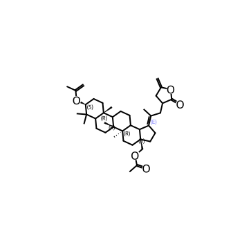 C=C(C)O[C@H]1CC[C@@]2(C)C(CC[C@]3(C)C2CCC2C4/C(=C(\C)CC5CC(=C)OC5=O)CC[C@]4(COC(C)=O)CC[C@]23C)C1(C)C